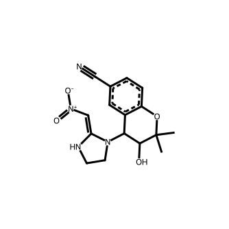 CC1(C)Oc2ccc(C#N)cc2C(N2CCN/C2=C\[N+](=O)[O-])C1O